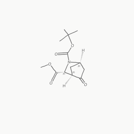 COC(=O)[C@H]1[C@H]2C[C@H](CC2=O)N1C(=O)OC(C)(C)C